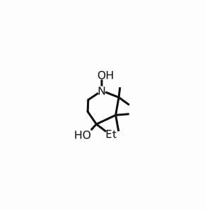 CCC1(O)CCN(O)C(C)(C)C1(C)C